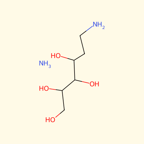 N.NCCC(O)C(O)C(O)CO